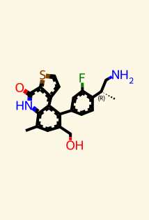 Cc1cc(CO)c(-c2ccc([C@@H](C)CN)c(F)c2)c2c1[nH]c(=O)c1sccc12